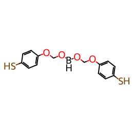 Sc1ccc(OCOBOCOc2ccc(S)cc2)cc1